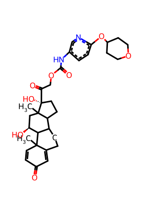 CC12C=CC(=O)C=C1CCC1C2[C@@H](O)CC2(C)C1CC[C@]2(O)C(=O)COC(=O)Nc1ccc(OC2CCOCC2)nc1